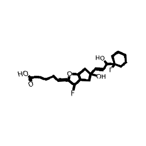 O=C(O)CCCC=C1OC2CC(O)(C=CC(O)C3(F)CCCCC3)CC2C1F